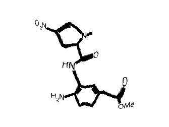 COC(=O)c1ccc(N)c(NC(=O)C2CC([N+](=O)[O-])=CN2C)c1